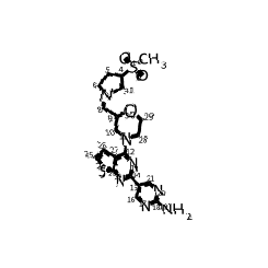 CS(=O)(=O)C1CCN(CC2CN(c3nc(-c4cnc(N)nc4)nc4sccc34)CCO2)C1